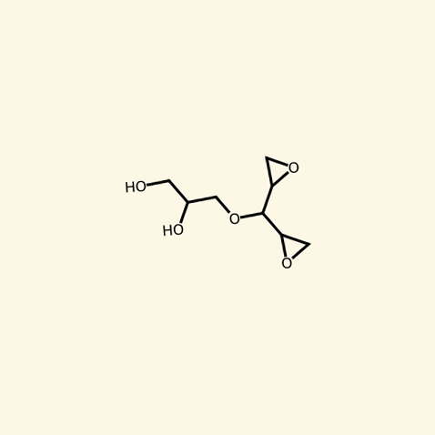 OCC(O)COC(C1CO1)C1CO1